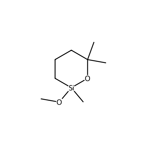 CO[Si]1(C)CCCC(C)(C)O1